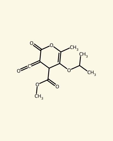 COC(=O)C1C(=C=O)C(=O)OC(C)=C1OC(C)C